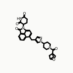 O=C1CCC(N2C(=O)c3cccc4c(Cc5cnn(C6CCN(C(=O)C78COC(C7)C8)CC6)c5)ccc2c34)C(=O)N1